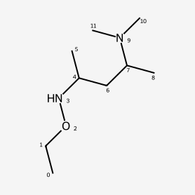 CCONC(C)CC(C)N(C)C